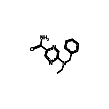 CCN(Cc1ccccc1)c1cnc(C(N)=O)cn1